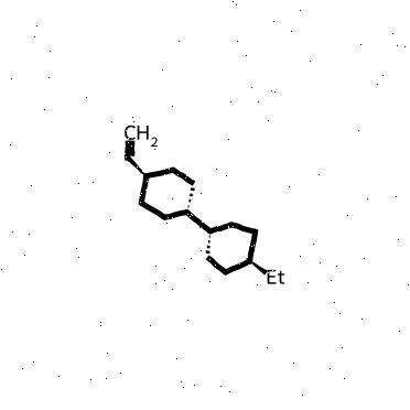 C=C[C@H]1CC[C@H]([C@H]2CC[C@H](CC)CC2)CC1